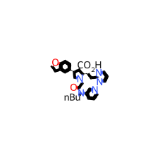 CCCCN(C(=O)CN1C[C@H](c2ccc3c(c2)CCO3)[C@@H](C(=O)O)[C@@H]1CCc1ncccn1)c1cccnc1